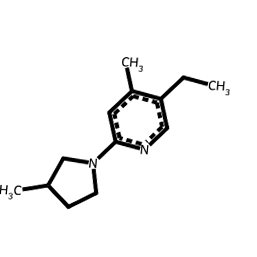 CCc1cnc(N2CCC(C)C2)cc1C